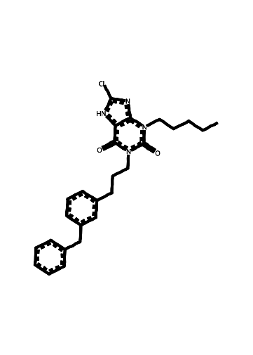 CCCCCn1c(=O)n(CCCc2cccc(Cc3ccccc3)c2)c(=O)c2[nH]c(Cl)nc21